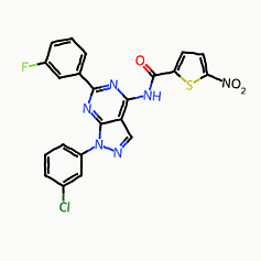 O=C(Nc1nc(-c2cccc(F)c2)nc2c1cnn2-c1cccc(Cl)c1)c1ccc([N+](=O)[O-])s1